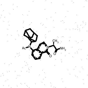 CC(=O)N(c1cccc2c(=O)n([C@@H](C)C(N)=O)ccc12)C1C2CC3CC(C2)CC1C3